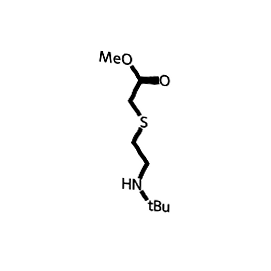 COC(=O)CSCCNC(C)(C)C